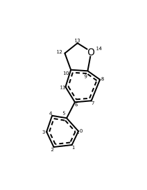 [c]1ccccc1-c1ccc2c(c1)CCO2